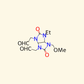 CCN1C(=O)N(CC=O)C2C1N(COC)C(=O)N2CC=O